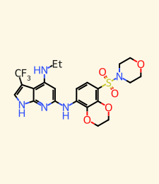 CCNc1cc(Nc2ccc(S(=O)(=O)N3CCOCC3)c3c2OCCO3)nc2[nH]cc(C(F)(F)F)c12